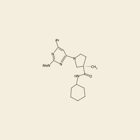 CNc1nc(C(C)C)cc(N2CC[C@@](C)(C(=O)NC3CCCCC3)C2)n1